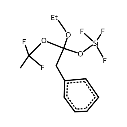 CCOC(Cc1ccccc1)(OC(C)(F)F)O[Si](F)(F)F